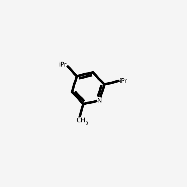 Cc1cc(C(C)C)cc(C(C)C)n1